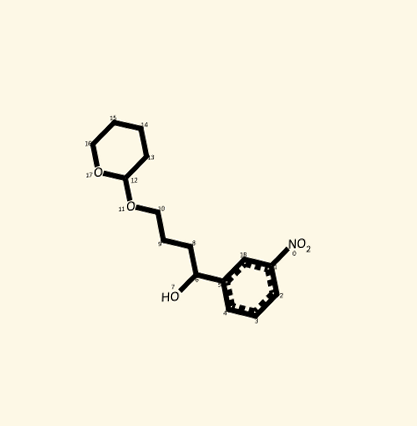 O=[N+]([O-])c1cccc(C(O)CCCOC2CCCCO2)c1